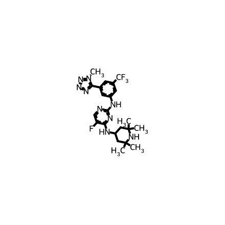 Cn1nnnc1-c1cc(Nc2ncc(F)c(NC3CC(C)(C)NC(C)(C)C3)n2)cc(C(F)(F)F)c1